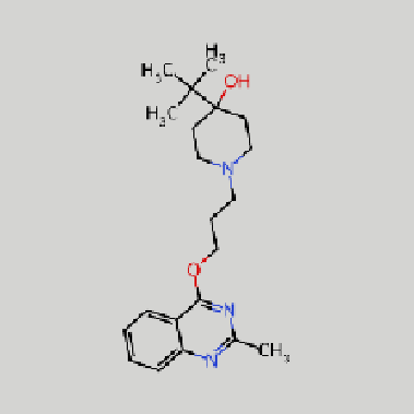 Cc1nc(OCCCN2CCC(O)(C(C)(C)C)CC2)c2ccccc2n1